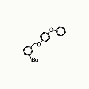 CCC(C)c1cccc(COc2ccc(Oc3ccccc3)cc2)c1